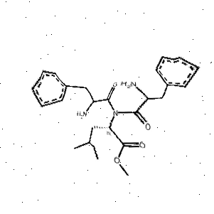 COC(=O)[C@H](CC(C)C)N(C(=O)C(N)Cc1ccccc1)C(=O)C(N)Cc1ccccc1